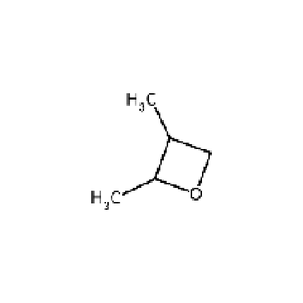 CC1COC1C